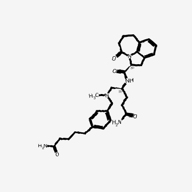 CN(Cc1ccc(CCCCC(N)=O)cc1)C[C@H](CCC(N)=O)NC(=O)[C@@H]1Cc2cccc3c2N1C(=O)CCC3